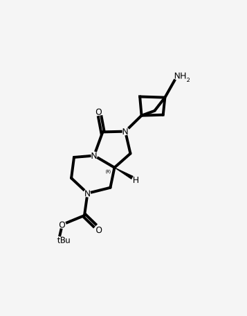 CC(C)(C)OC(=O)N1CCN2C(=O)N(C34CC(N)(C3)C4)C[C@@H]2C1